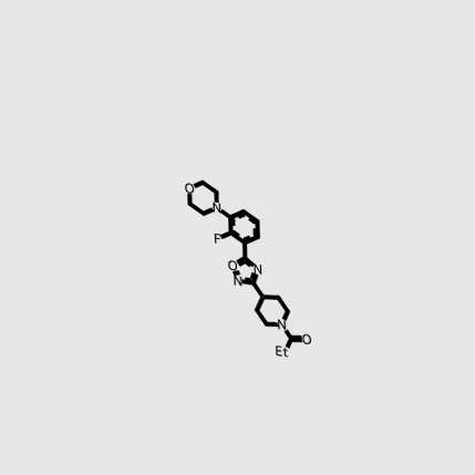 CCC(=O)N1CCC(c2noc(-c3cccc(N4CCOCC4)c3F)n2)CC1